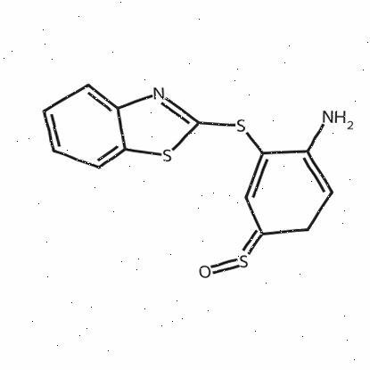 NC1=CCC(=S=O)C=C1Sc1nc2ccccc2s1